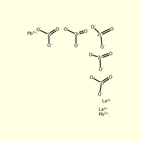 [La+3].[La+3].[O]=[Zr]([O-])[O-].[O]=[Zr]([O-])[O-].[O]=[Zr]([O-])[O-].[O]=[Zr]([O-])[O-].[O]=[Zr]([O-])[O-].[Pb+2].[Pb+2]